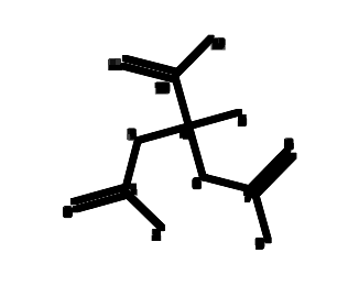 C=C(C)CC(C)(CC(=C)C)C(=C)C